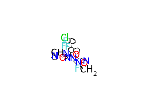 C=C(F)C(=O)N1CCN(c2nc(OC[C@@H]3CCCN3C)nc3cc(-c4cccc(Cl)c4C(F)(F)F)c4c(c23)OCCC4)C[C@@H]1CC#N